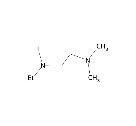 CCN(I)CCN(C)C